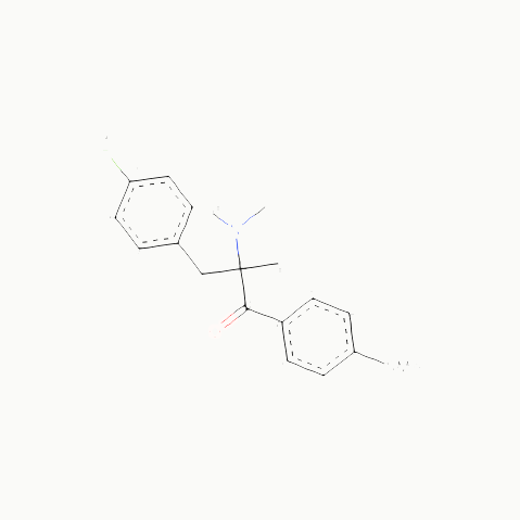 CSc1ccc(C(=O)C(C)(Cc2ccc(F)cc2)N(C)C)cc1